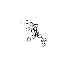 CCc1ccccc1-c1c(CC)ccc2c1sc1c(-c3ccc(N(c4ccc(-c5ccccc5)cc4)c4ccc(-c5cccc6c5sc5ccccc56)cc4)cc3)cccc12